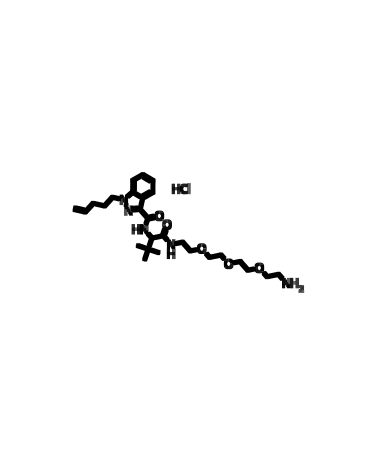 C=CCCCn1nc(C(=O)NC(C(=O)NCCOCCOCCOCCN)C(C)(C)C)c2ccccc21.Cl